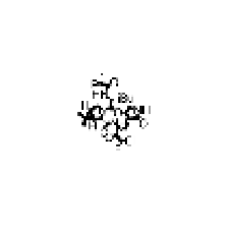 CC[C@@H](C)[C@H](NC(=O)[C@@H](C)F)C(=O)N1C[C@H]2[C@@H]([C@H]1C(=O)NN(C[C@@H]1CCNC1=O)C(=O)[C@H](F)Cl)C2(C)C